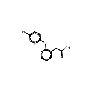 O=C(O)Cc1ccccc1Oc1ccc(Cl)cn1